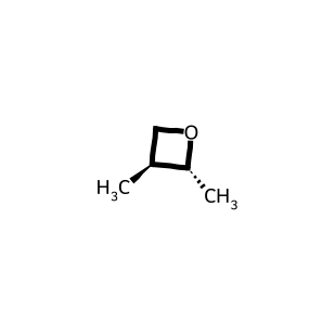 C[C@H]1CO[C@@H]1C